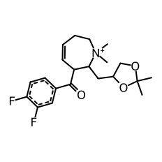 CC1(C)OCC(CC2C(C(=O)c3ccc(F)c(F)c3)C=CCC[N+]2(C)C)O1